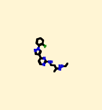 CCN/N=C(/C)CCNc1nccc(-c2cnn(C3=C(F)CCC=C3)c2)n1